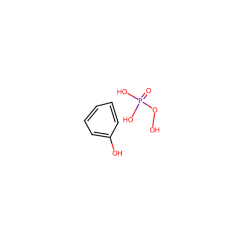 O=P(O)(O)OO.Oc1ccccc1